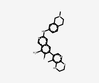 Cc1c(-c2cc3cc(Nc4ccc5c(c4)CN(C)CC5)ncc3c(N)c2F)cnc2c1NCCO2